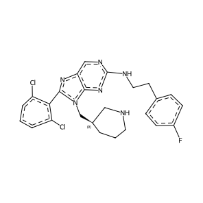 Fc1ccc(CCNc2ncc3nc(-c4c(Cl)cccc4Cl)n(C[C@@H]4CCCNC4)c3n2)cc1